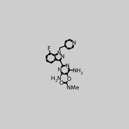 CNC(=O)Oc1c(N)nc(-c2nn(Cc3ccncc3)c3c(F)cccc23)nc1N